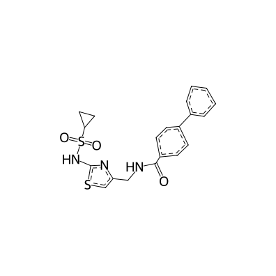 O=C(NCc1csc(NS(=O)(=O)C2CC2)n1)c1ccc(-c2ccccc2)cc1